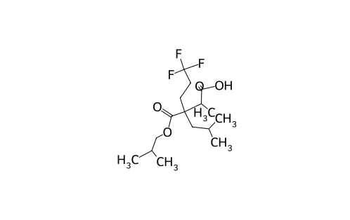 CC(C)COC(=O)C(CCC(F)(F)F)(CC(C)C)C(C)C(=O)O